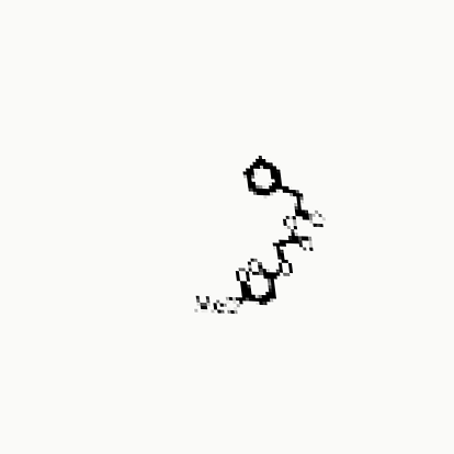 COC(=O)/C=C\C(=O)OCC(=O)OC(=O)Cc1ccccc1